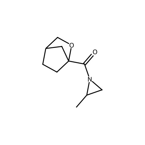 CC1CN1C(=O)C12CCC(CO1)C2